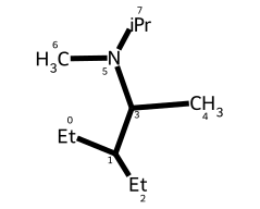 CCC(CC)C(C)N(C)C(C)C